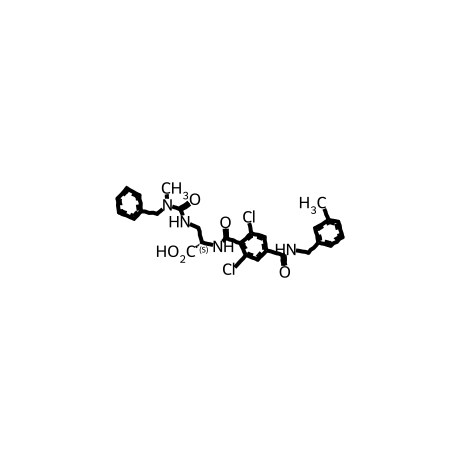 Cc1cccc(CNC(=O)c2cc(Cl)c(C(=O)N[C@@H](CNC(=O)N(C)Cc3ccccc3)C(=O)O)c(Cl)c2)c1